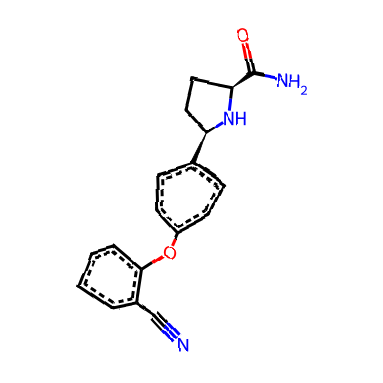 N#Cc1ccccc1Oc1ccc([C@H]2CC[C@@H](C(N)=O)N2)cc1